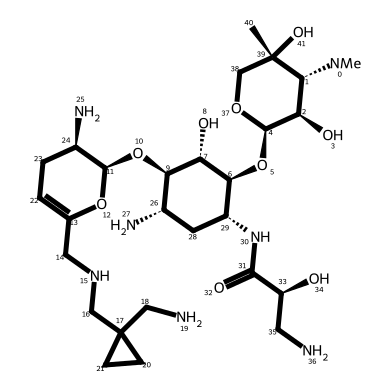 CN[C@@H]1[C@@H](O)[C@@H](O[C@@H]2[C@@H](O)[C@H](O[C@H]3OC(CNCC4(CN)CC4)=CC[C@H]3N)[C@@H](N)C[C@H]2NC(=O)[C@@H](O)CN)OC[C@]1(C)O